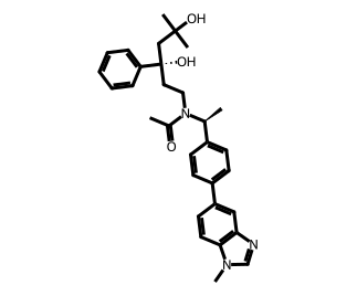 CC(=O)N(CC[C@](O)(CC(C)(C)O)c1ccccc1)[C@@H](C)c1ccc(-c2ccc3c(c2)ncn3C)cc1